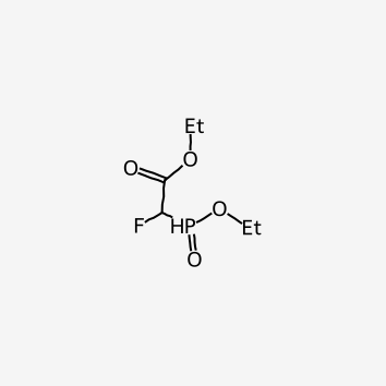 CCOC(=O)C(F)[PH](=O)OCC